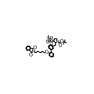 CCS(=O)(=O)NC1CCN(C(=O)OC(C)(C)C)C1Cc1cccc(-c2ccccc2OCCCCCN2C(=O)c3ccccc3C2=O)c1